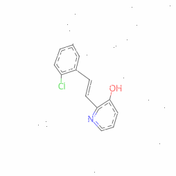 Oc1cccnc1C=Cc1ccccc1Cl